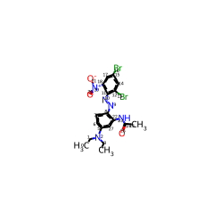 CCN(CC)c1ccc(N=Nc2c(Br)cc(Br)cc2[N+](=O)[O-])c(NC(C)=O)c1